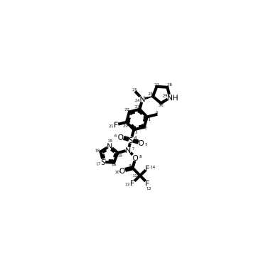 Cc1cc(S(=O)(=O)N(OC(=O)C(F)(F)F)c2cscn2)c(F)cc1N(C)[C@H]1CCNC1